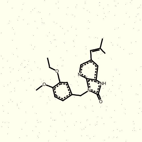 CCOc1cc(Cn2c(=O)[nH]c3cc(C=C(C)C)cnc32)ccc1OC